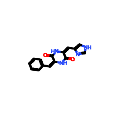 O=c1[nH]c(=Cc2c[nH]cn2)c(=O)[nH]c1=Cc1ccccc1